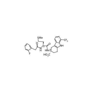 CSCC[C@H](NC(=O)Cc1ccccc1F)C(=O)N[C@]1(C(=O)O)CCc2[nH]c3c(C(F)(F)F)cccc3c2C1